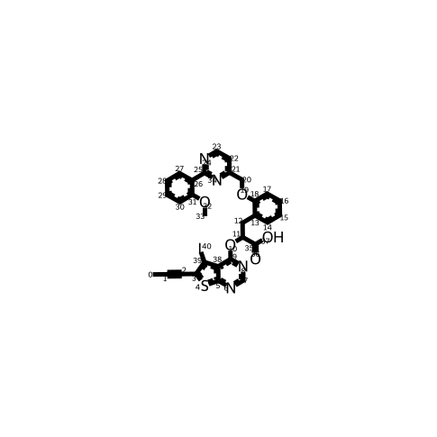 CC#Cc1sc2ncnc(OC(Cc3ccccc3OCc3ccnc(-c4ccccc4OC)n3)C(=O)O)c2c1I